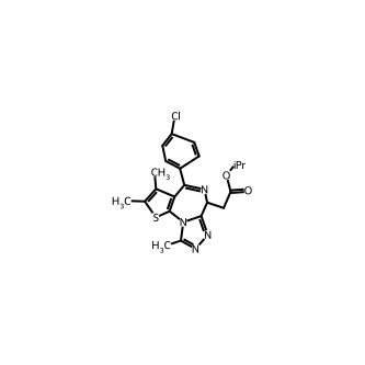 Cc1sc2c(c1C)C(c1ccc(Cl)cc1)=NC(CC(=O)OC(C)C)c1nnc(C)n1-2